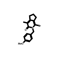 COc1ccc(Cn2c(Br)c3c(c(C)c2=O)CCC3)cc1